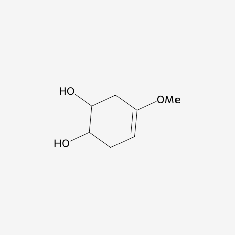 COC1=CCC(O)C(O)C1